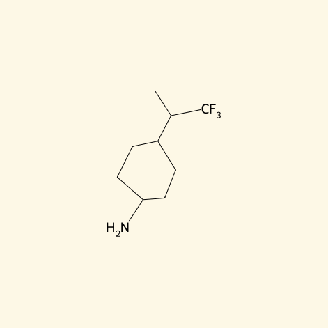 CC(C1CCC(N)CC1)C(F)(F)F